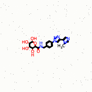 Cn1cncc1-c1cn(-c2ccc(CNC(=O)C3O[C@@H](O)[C@@H](O)[C@@H](O)[C@@H]3O)cc2)nn1